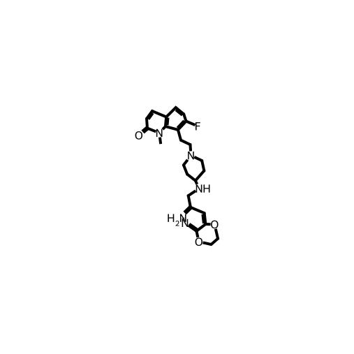 C=C(/C=C1/OCCO/C1=N/N)CNC1CCN(CCc2c(F)ccc3ccc(=O)n(C)c23)CC1